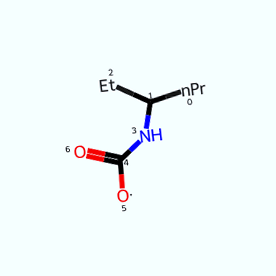 CCCC(CC)NC([O])=O